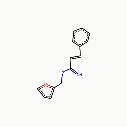 N=C(/C=C/c1ccccc1)NCc1ccco1